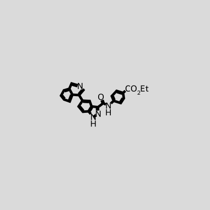 CCOC(=O)c1ccc(NC(=O)c2n[nH]c3ccc(-c4cncc5ccccc45)cc23)cc1